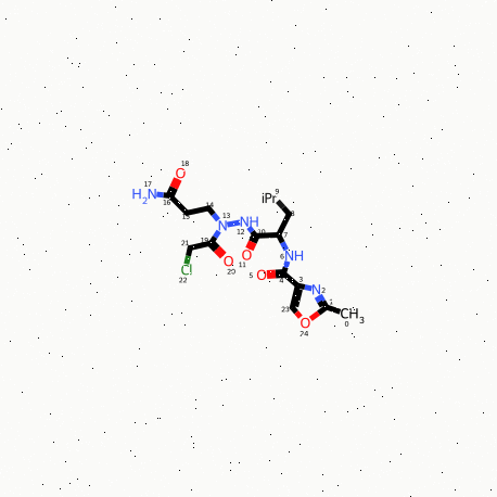 Cc1nc(C(=O)NC(CC(C)C)C(=O)NN(CCC(N)=O)C(=O)CCl)co1